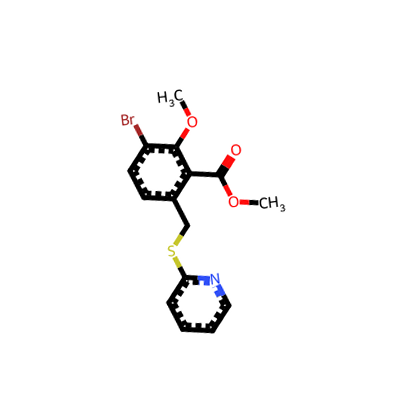 COC(=O)c1c(CSc2ccccn2)ccc(Br)c1OC